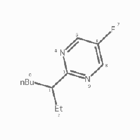 CCCCC(CC)c1ncc(F)cn1